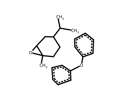 CC(C)C1CCC2(C)OC2C1.c1ccc(Oc2ccccc2)cc1